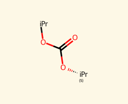 [CH2][C@@H](C)OC(=O)OC(C)C